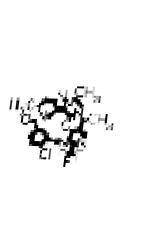 C[C@@H]1Cc2nn3c(c2CN1C(=O)c1ccc(Cl)c(C#N)c1)C(=O)N([C@@H](C)c1ccc(C(F)(F)F)nc1)C[C@H]3C